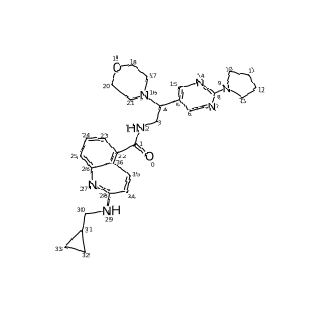 O=C(NCC(c1cnc(N2CCCC2)nc1)N1CCOCC1)c1cccc2nc(NCC3CC3)ccc12